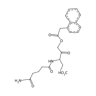 NC(=O)CCCC(=O)NC(CC(=O)O)C(=O)COC(=O)Cc1cccc2ccccc12